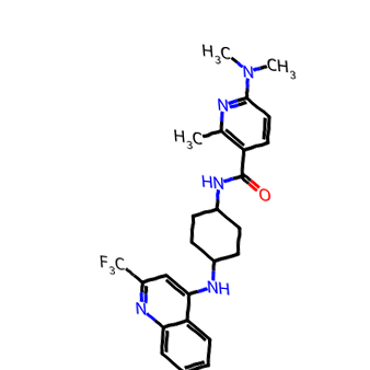 Cc1nc(N(C)C)ccc1C(=O)NC1CCC(Nc2cc(C(F)(F)F)nc3ccccc23)CC1